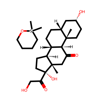 C[C@]12CC[C@@H](O)C[C@H]1CC[C@@H]1[C@@H]2C(=O)C[C@@]2(C)[C@H]1CC[C@]2(O)C(=O)CO.C[Si]1(C)CCCCO1